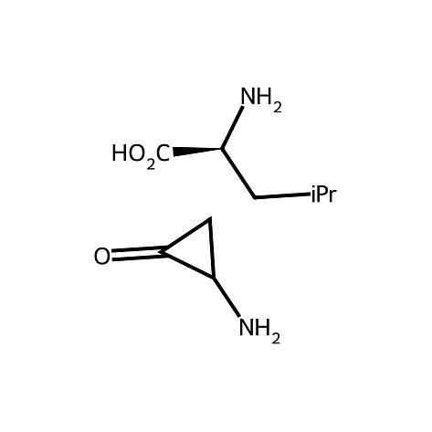 CC(C)C[C@H](N)C(=O)O.NC1CC1=O